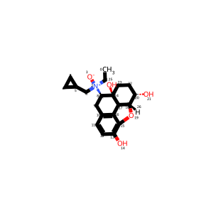 CC[N+]([O-])(CC1CC1)[C@@H]1Cc2ccc(O)c3c2C2[C@@H](O3)[C@@H](O)CC[C@]21O